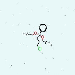 CCO[Si](CCCCl)(OCC)c1ccccc1